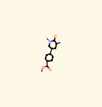 COC(=O)c1ccc(-c2cc(C)c(=O)n(C)c2)cc1